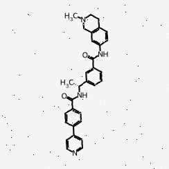 C[C@@H](NC(=O)c1ccc(-c2ccncc2)cc1)c1cccc(C(=O)Nc2ccc3c(c2)CN(C)CC3)c1